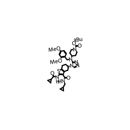 COc1ccc(CN(c2nncn2[C@H]2CCc3sc(NC(=O)C4CC4)c(C(=O)NCC4CC4)c3C2)C2CCN(C(=O)OC(C)(C)C)CC2)c(OC)c1